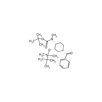 CN(C(=O)OC(C)(C)C)[C@@H]1CC[C@H](C(=O)c2ccccc2)C[C@@H]1O[Si](C)(C)C(C)(C)C